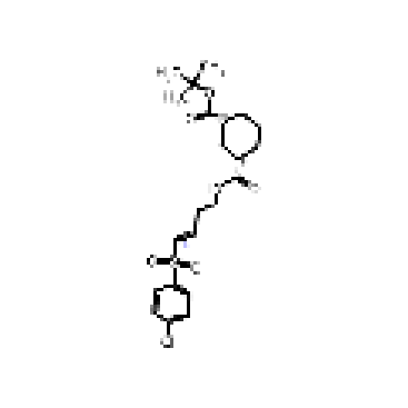 CC(C)(C)OC(=O)N1CCC[C@H](C(=O)NCC/C=C/S(=O)(=O)c2ccc(Cl)cc2)C1